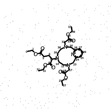 CCOC(=O)CCC(C(=O)OCC)N1CCN(CC(=O)OCC)Cc2cccc(n2)CN(CC(=O)OCC)CC1